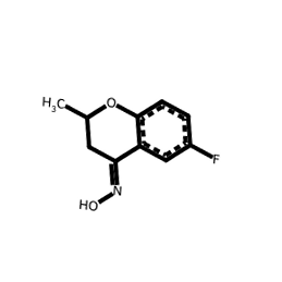 CC1CC(=NO)c2cc(F)ccc2O1